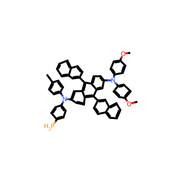 COc1ccc(N(c2ccc(OC)cc2)c2ccc3c(-c4ccc5ccccc5c4)c4cc(N(c5ccc(C)cc5)c5ccc(P)cc5)ccc4c(-c4ccc5ccccc5c4)c3c2)cc1